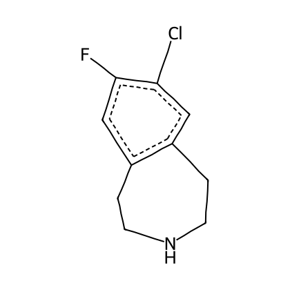 Fc1cc2c(cc1Cl)CCNCC2